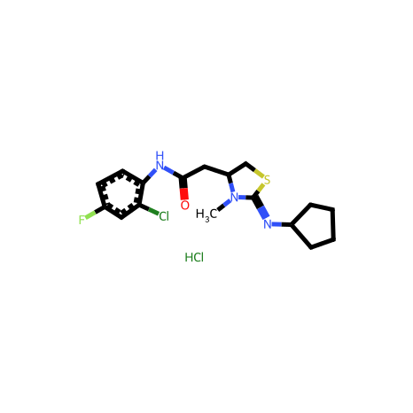 CN1C(=NC2CCCC2)SCC1CC(=O)Nc1ccc(F)cc1Cl.Cl